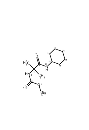 CC(C)(C)OC(=O)NC(C)(C)C(=O)NC1CCCCC1